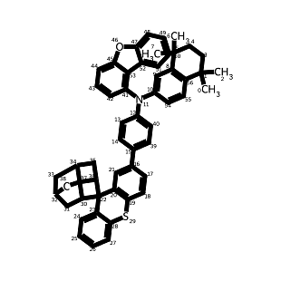 CC1(C)CCC(C)(C)c2cc(N(c3ccc(-c4ccc5c(c4)C4(c6ccccc6S5)C5CC6CC7CC4C75C6)cc3)c3cccc4oc5ccccc5c34)ccc21